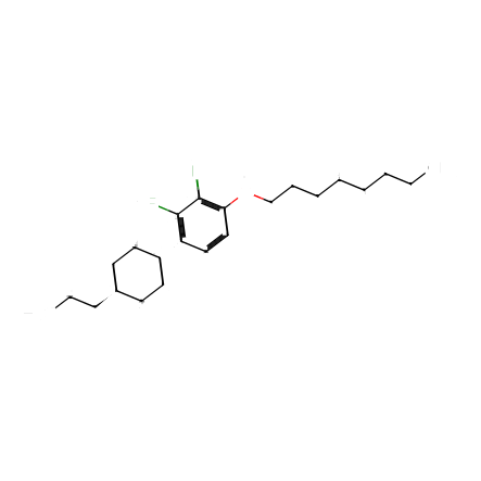 CCCCCCCCOc1ccc([C@H]2CC[C@H](CCC)CC2)c(F)c1F